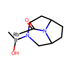 CB(O)N1CCC2CCC(C1)N2[C](=O)[Rb]